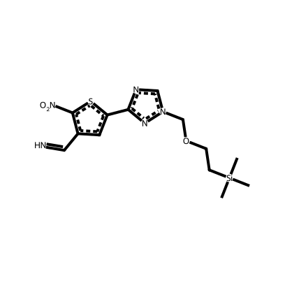 C[Si](C)(C)CCOCn1cnc(-c2cc(C=N)c([N+](=O)[O-])s2)n1